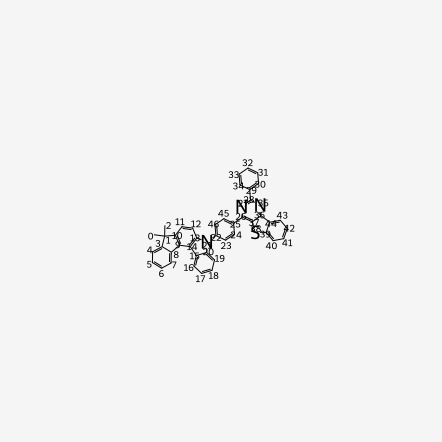 CC1(C)c2ccccc2-c2c1ccc1c2c2ccccc2n1-c1ccc(-c2nc(-c3ccccc3)nc3c2sc2ccccc23)cc1